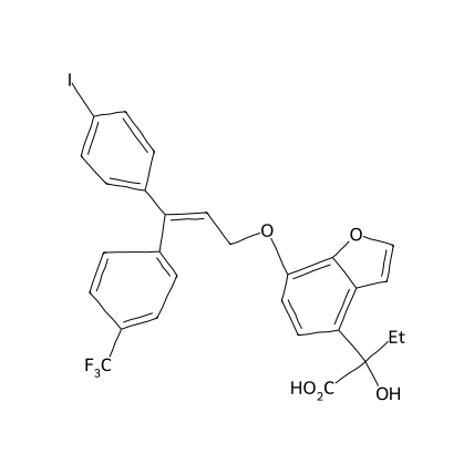 CCC(O)(C(=O)O)c1ccc(OC/C=C(/c2ccc(I)cc2)c2ccc(C(F)(F)F)cc2)c2occc12